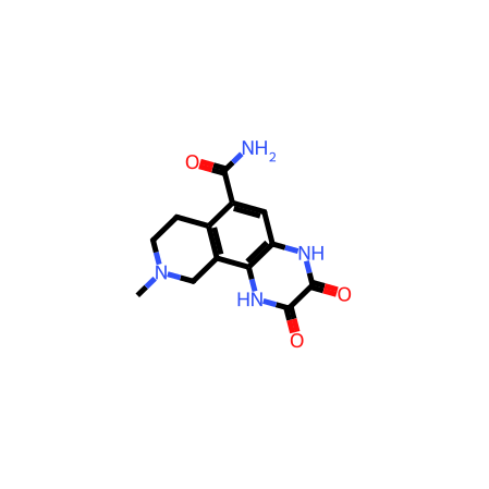 CN1CCc2c(C(N)=O)cc3[nH]c(=O)c(=O)[nH]c3c2C1